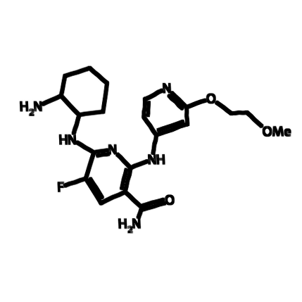 COCCOc1cc(Nc2nc(NC3CCCCC3N)c(F)cc2C(N)=O)ccn1